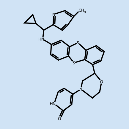 Cc1ccc(C(Nc2ccc3c(c2)Sc2cccc(C4CN(c5cc[nH]c(=O)c5)CCO4)c2S3)C2CC2)nc1